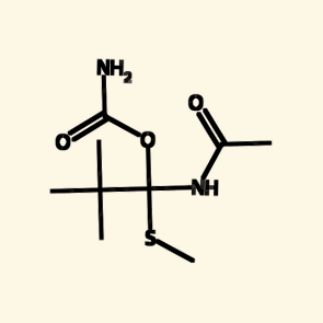 CSC(NC(C)=O)(OC(N)=O)C(C)(C)C